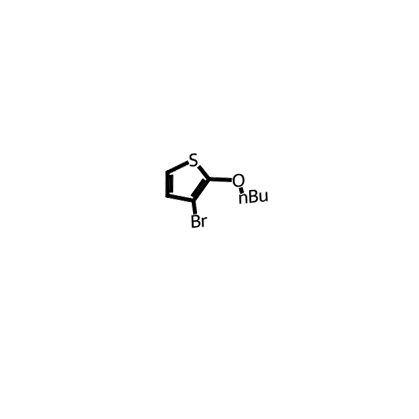 CCCCOc1sccc1Br